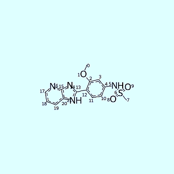 COc1cc(NS(C)(=O)=O)ccc1-c1nc2ncccc2[nH]1